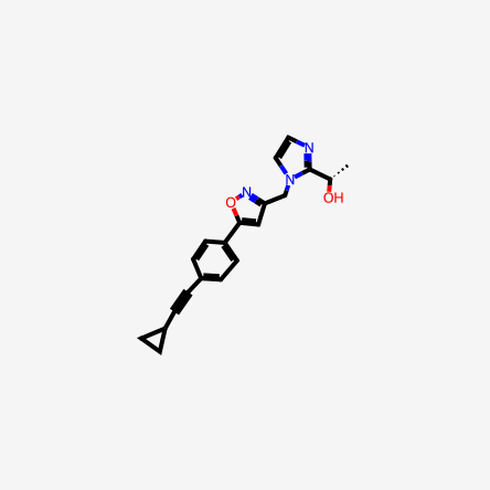 C[C@H](O)c1nccn1Cc1cc(-c2ccc(C#CC3CC3)cc2)on1